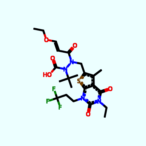 CCOC=CC(=O)N(Cc1sc2c(c1C)c(=O)n(CC)c(=O)n2CCC(F)(F)F)N(C(=O)O)C(C)(C)C